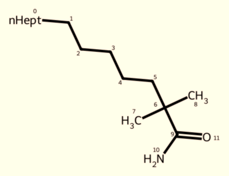 CCCCCCCCCCCCC(C)(C)C(N)=O